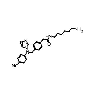 N#Cc1ccc(N(Cc2ccc(CC(=O)NCCCCCCN)cc2)n2cnnc2)cc1